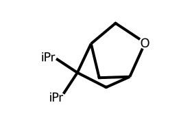 CC(C)C1(C(C)C)CC2CC1CO2